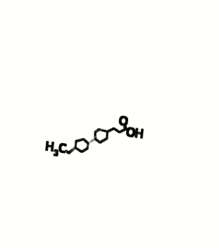 CC[C@H]1CC[C@H](C2CCC(CCC(=O)O)CC2)CC1